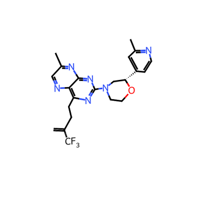 C=C(CCc1nc(N2CCO[C@@H](c3ccnc(C)c3)C2)nc2nc(C)cnc12)C(F)(F)F